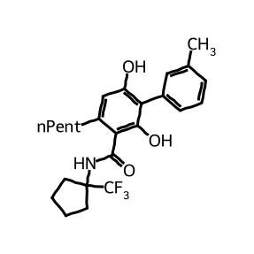 CCCCCc1cc(O)c(-c2cccc(C)c2)c(O)c1C(=O)NC1(C(F)(F)F)CCCC1